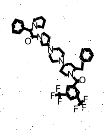 O=C(C(c1ccccc1)N1CCCC1)N1CCC(N2CCN(C3CCN(C(=O)c4cc(C(F)(F)F)cc(C(F)(F)F)c4)C(Cc4ccccc4)C3)CC2)C1